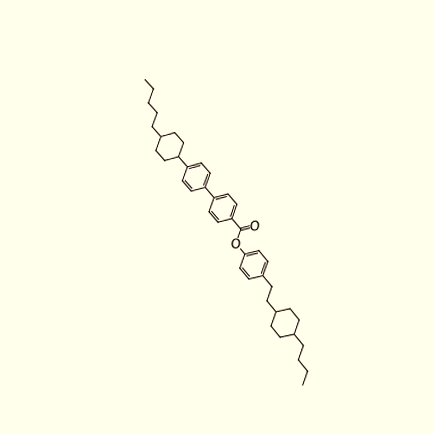 CCCCCC1CCC(c2ccc(-c3ccc(C(=O)Oc4ccc(CCC5CCC(CCCC)CC5)cc4)cc3)cc2)CC1